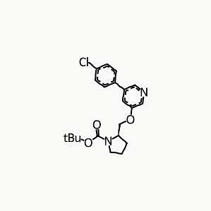 CC(C)(C)OC(=O)N1CCC[C@@H]1COc1cncc(-c2ccc(Cl)cc2)c1